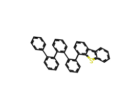 c1ccc(-c2ccccc2-c2ccccc2-c2ccccc2-c2cccc3c2sc2ccccc23)cc1